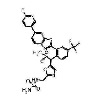 CS(=O)(=O)C(c1nnc(CNS(N)(=O)=O)o1)c1ccc(C(F)(F)F)cc1-c1nc2ccc(-c3ccc(F)nc3)cc2s1